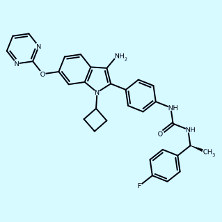 C[C@H](NC(=O)Nc1ccc(-c2c(N)c3ccc(Oc4ncccn4)cc3n2C2CCC2)cc1)c1ccc(F)cc1